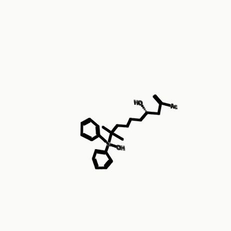 C=C(C[C@@H](O)CCCCC(C)(C)[Si](O)(c1ccccc1)c1ccccc1)C(C)=O